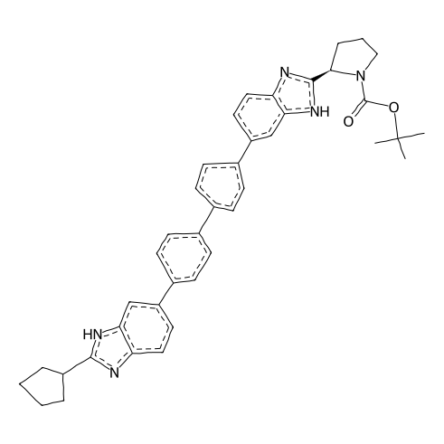 CC(C)(C)OC(=O)N1CCC[C@@H]1c1nc2ccc(-c3ccc(-c4ccc(-c5ccc6nc(C7CCCC7)[nH]c6c5)cc4)cc3)cc2[nH]1